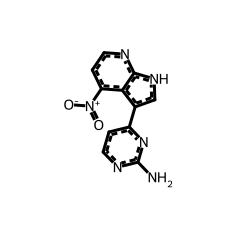 Nc1nccc(-c2c[nH]c3nccc([N+](=O)[O-])c23)n1